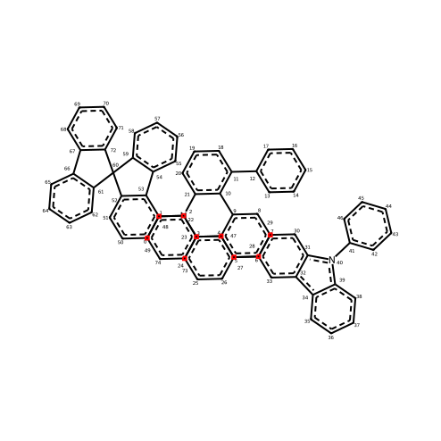 c1ccc(-c2ccccc2-c2c(-c3ccccc3)cccc2N(c2cccc(-c3ccc4c(c3)c3ccccc3n4-c3ccccc3)c2)c2cccc3c2-c2ccccc2C32c3ccccc3-c3ccccc32)cc1